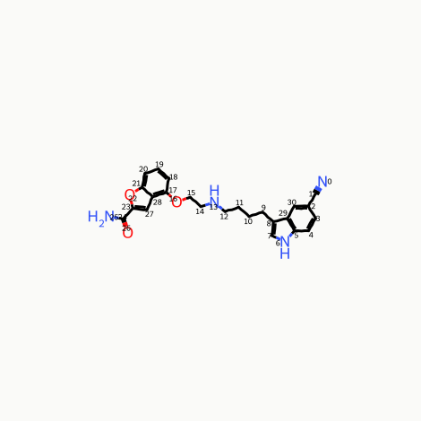 N#Cc1ccc2[nH]cc(CCCCNCCOc3cccc4oc(C(N)=O)cc34)c2c1